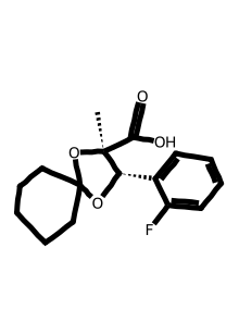 C[C@@]1(C(=O)O)OC2(CCCCC2)O[C@H]1c1ccccc1F